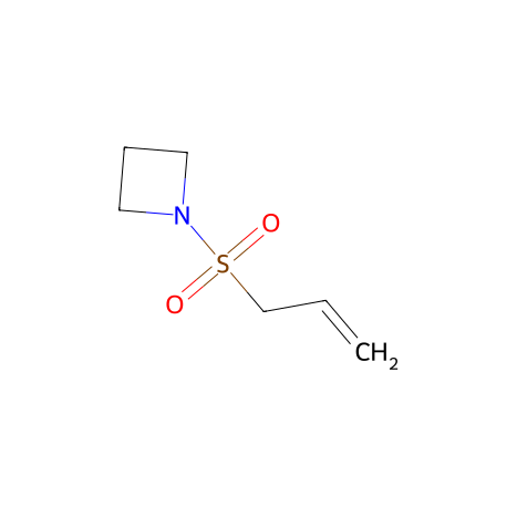 C=CCS(=O)(=O)N1CCC1